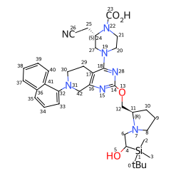 CC(C)(C)[Si](C)(C)C(O)CN1CCC[C@@H]1COc1nc2c(c(N3CCN(C(=O)O)[C@@H](CC#N)C3)n1)CCN(c1cccc3ccccc13)C2